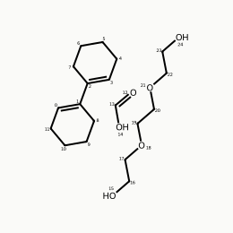 C1=C(C2=CCCCC2)CCCC1.O=CO.OCCOCCOCCO